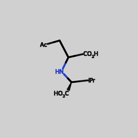 CC(=O)CC(N[C@H](C(=O)O)C(C)C)C(=O)O